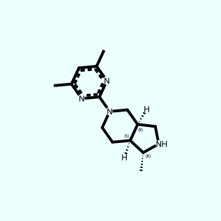 Cc1cc(C)nc(N2CC[C@H]3[C@H](CN[C@@H]3C)C2)n1